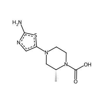 C[C@@H]1CN(c2cnc(N)s2)CCN1C(=O)O